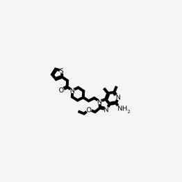 CCOCc1nc2c(N)nc(C)c(C)c2n1CCC1CCN(C(=O)Cc2cccs2)CC1